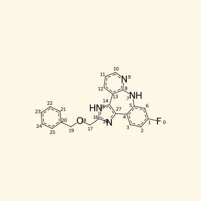 Fc1ccc2c(c1)Nc1ncccc1-c1[nH]c(COCc3ccccc3)nc1-2